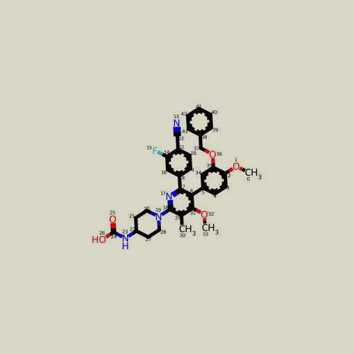 COc1ccc(-c2c(-c3ccc(C#N)c(F)c3)nc(N3CCC(NC(=O)O)CC3)c(C)c2OC)cc1OCc1ccccc1